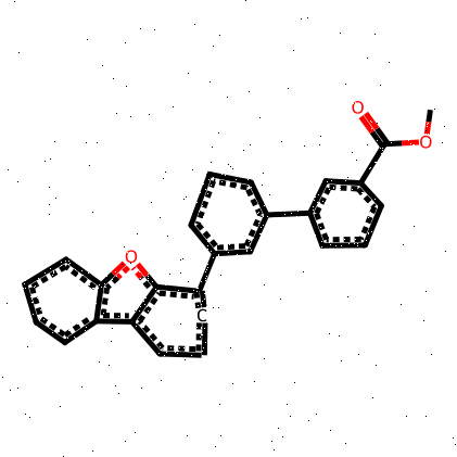 COC(=O)c1cccc(-c2cccc(-c3cccc4c3oc3ccccc34)c2)c1